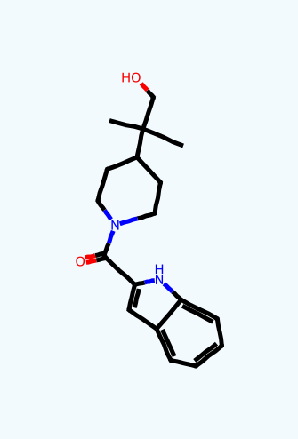 CC(C)(CO)C1CCN(C(=O)c2cc3ccccc3[nH]2)CC1